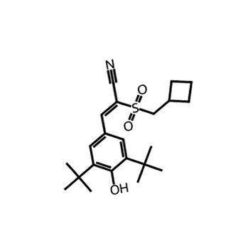 CC(C)(C)c1cc(C=C(C#N)S(=O)(=O)CC2CCC2)cc(C(C)(C)C)c1O